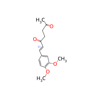 COc1ccc(/C=C/C(=O)CCC(C)=O)cc1OC